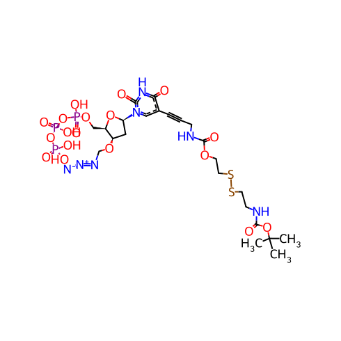 CC(C)(C)OC(=O)NCCSSCCOC(=O)NCC#Cc1cn([C@H]2C[C@@H](OCN=[N+]=[N-])[C@@H](COP(=O)(O)OP(=O)(O)OP(=O)(O)O)O2)c(=O)[nH]c1=O